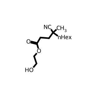 CCCCCCC(C)(C#N)CCC(=O)OCCO